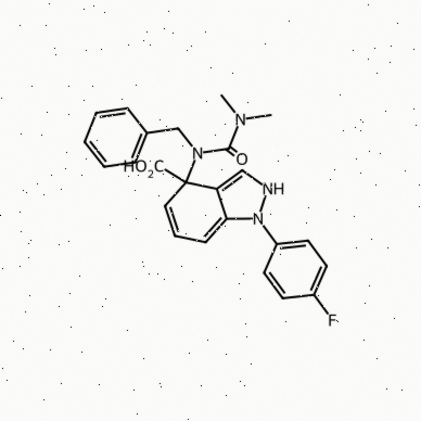 CN(C)C(=O)N(Cc1ccccc1)C1(C(=O)O)C=CC=C2C1=CNN2c1ccc(F)cc1